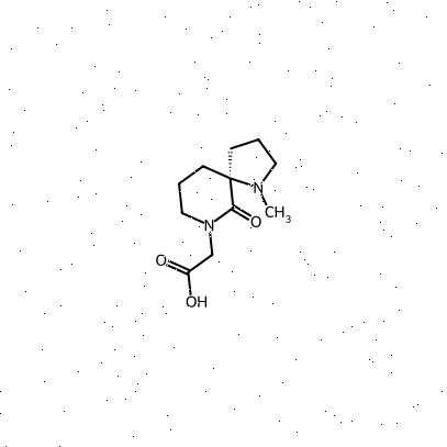 CN1CCC[C@]12CCCN(CC(=O)O)C2=O